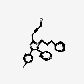 Fc1ccc(-c2nc(CC#CCCl)n(CCCc3ccccc3)c2-c2ccncc2)cc1